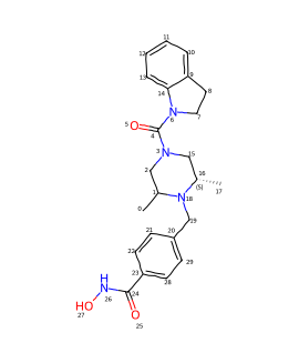 CC1CN(C(=O)N2CCc3ccccc32)C[C@H](C)N1Cc1ccc(C(=O)NO)cc1